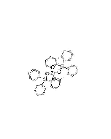 CC(C)[O][Zr]([O]C(C)C)([O][Si](c1ccccc1)(c1ccccc1)c1ccccc1)[O][Si](c1ccccc1)(c1ccccc1)c1ccccc1